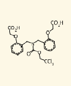 O=C(O)COc1ccccc1CN(Cc1ccccc1OCC(=O)O)C(=O)OCC(Cl)(Cl)Cl